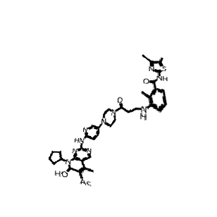 CC(=O)C1=C(C)c2cnc(Nc3ccc(N4CCN(C(=O)CCNc5cccc(C(=O)Nc6nc(C)c(C)s6)c5C)CC4)cn3)nc2N(C2CCCC2)C1O